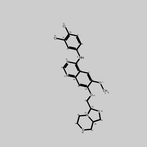 COc1cc2c(Nc3ccc(Cl)c(Cl)c3)ncnc2cc1OCC1SCC2COCCN21